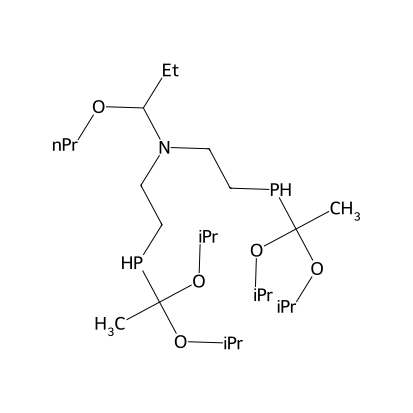 CCCOC(CC)N(CCPC(C)(OC(C)C)OC(C)C)CCPC(C)(OC(C)C)OC(C)C